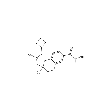 CCC1(CN(CC2CCC2)C(C)=O)CCc2cc(C(=O)NO)ccc2C1